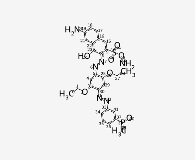 CCOc1cc(N=Nc2c(S(=O)(=O)ON)cc3ccc(N)cc3c2O)c(OCC)cc1N=Nc1cccc([PH](C)=O)c1